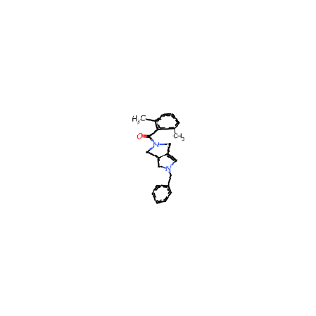 Cc1cccc(C)c1C(=O)N1CC2=CN(Cc3ccccc3)CC2C1